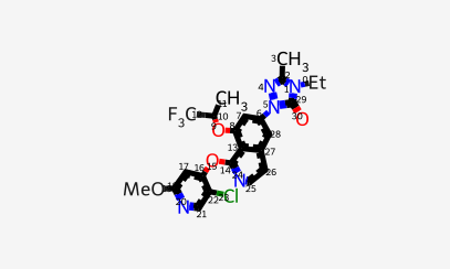 CCn1c(C)nn(-c2cc(OC(C)C(F)(F)F)c3c(Oc4cc(OC)ncc4Cl)nccc3c2)c1=O